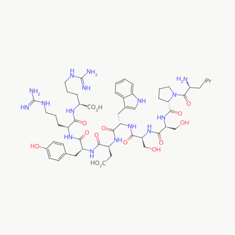 CC(C)C[C@H](N)C(=O)N1CCC[C@H]1C(=O)N[C@@H](CO)C(=O)N[C@@H](CO)C(=O)N[C@@H](Cc1c[nH]c2ccccc12)C(=O)N[C@@H](CC(=O)O)C(=O)N[C@@H](Cc1ccc(O)cc1)C(=O)N[C@@H](CCCNC(=N)N)C(=O)N[C@@H](CCCNC(=N)N)C(=O)O